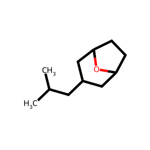 CC(C)CC1CC2CCC(C1)O2